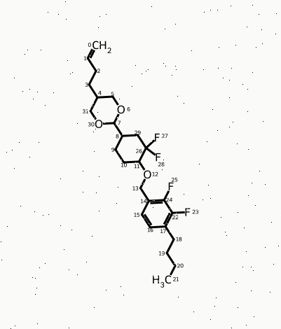 C=CCCC1COC(C2CCC(OCc3ccc(CCCC)c(F)c3F)C(F)(F)C2)OC1